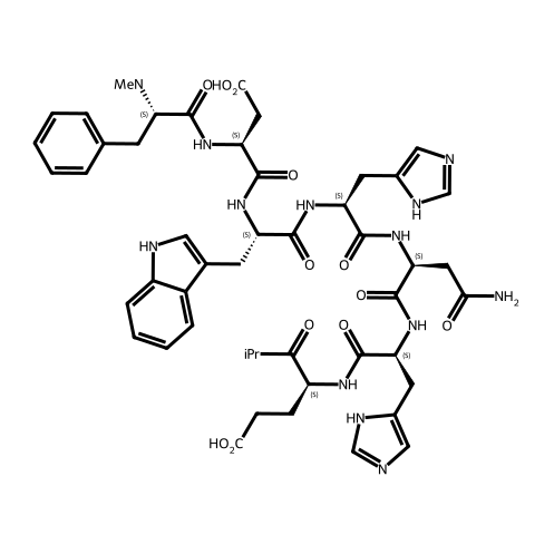 CN[C@@H](Cc1ccccc1)C(=O)N[C@@H](CC(=O)O)C(=O)N[C@@H](Cc1c[nH]c2ccccc12)C(=O)N[C@@H](Cc1cnc[nH]1)C(=O)N[C@@H](CC(N)=O)C(=O)N[C@@H](Cc1cnc[nH]1)C(=O)N[C@@H](CCC(=O)O)C(=O)C(C)C